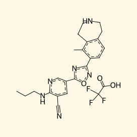 CCCNc1ncc(-c2nc(-c3ccc4c(c3C)CCNCC4)no2)cc1C#N.O=C(O)C(F)(F)F